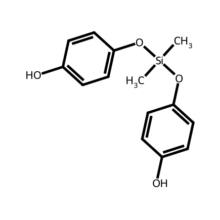 C[Si](C)(Oc1ccc(O)cc1)Oc1ccc(O)cc1